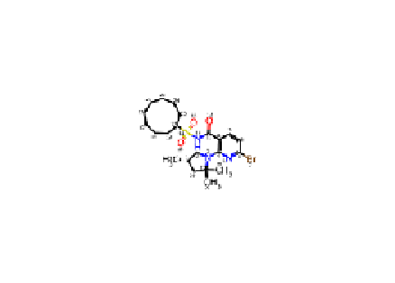 C[C@@H]1CN(c2nc(Br)ccc2C(=O)NS(=O)(=O)C2CCCCCCCC2)C(C)(C)C1